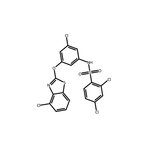 O=S(=O)(Nc1cc(Cl)cc(Oc2nc3c(Cl)cccc3s2)c1)c1ccc(Cl)cc1Cl